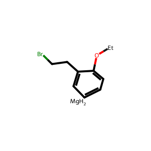 CCOc1ccccc1CCBr.[MgH2]